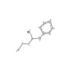 FCCC(Br)Oc1ccccc1